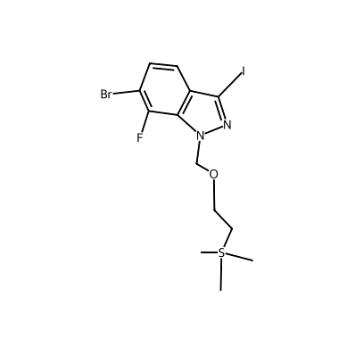 CS(C)(C)CCOCn1nc(I)c2ccc(Br)c(F)c21